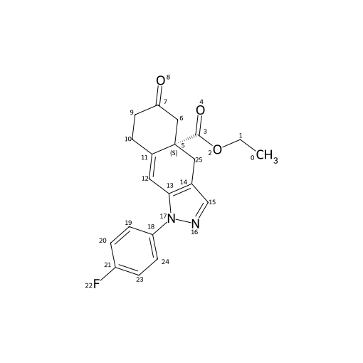 CCOC(=O)[C@@]12CC(=O)CCC1=Cc1c(cnn1-c1ccc(F)cc1)C2